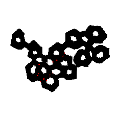 C1=CCCC(C2(c3ccccc3)c3ccccc3-c3ccc(-c4ccc(N(c5ccc(-c6ccccc6)cc5-c5ccccc5)c5ccccc5-c5cccc6cccc(C7CCCCC7)c56)cc4)cc32)=C1